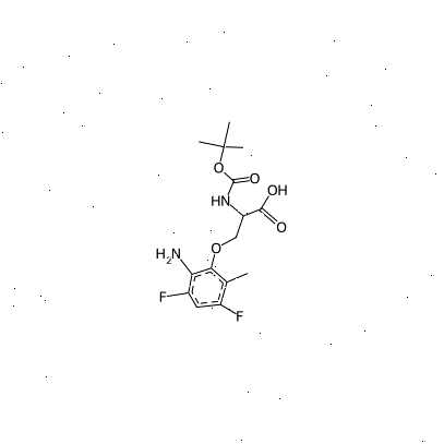 Cc1c(F)cc(F)c(N)c1OCC(NC(=O)OC(C)(C)C)C(=O)O